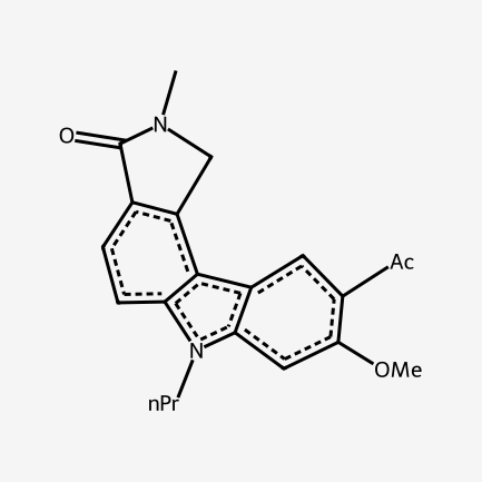 CCCn1c2cc(OC)c(C(C)=O)cc2c2c3c(ccc21)C(=O)N(C)C3